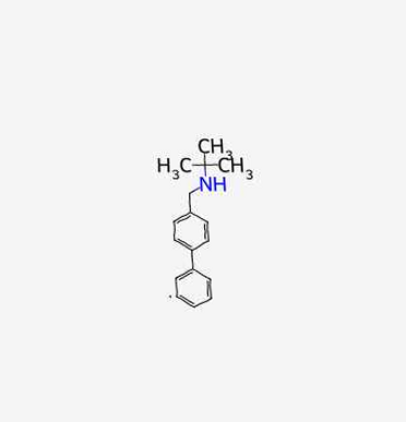 CC(C)(C)NCc1ccc(-c2c[c]ccc2)cc1